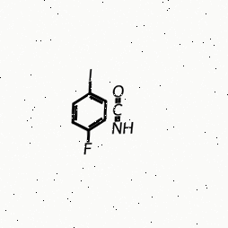 Fc1ccc(I)cc1.N=C=O